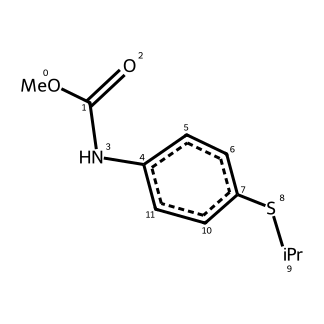 COC(=O)Nc1ccc(SC(C)C)cc1